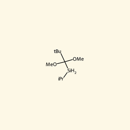 COC(OC)([SiH2]C(C)C)C(C)(C)C